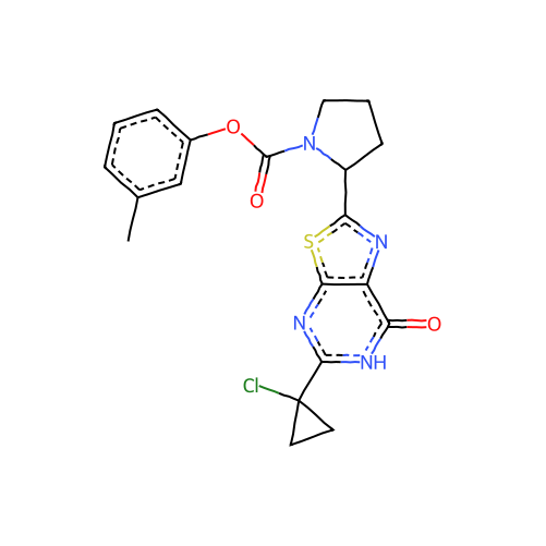 Cc1cccc(OC(=O)N2CCCC2c2nc3c(=O)[nH]c(C4(Cl)CC4)nc3s2)c1